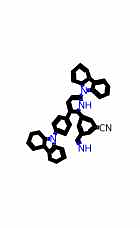 N#Cc1cc(C=N)cc(C2NC(N3c4ccccc4C4C=CC=CC43)=CC=C2c2ccc(N3C4=C(CCC=C4)C4C=CCCC43)cc2)c1